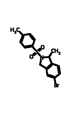 Cc1ccc(S(=O)(=O)N2Cc3cc(Br)ccc3C2C)cc1